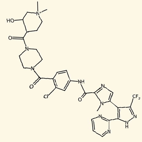 Cn1c(-c2c(C(F)(F)F)n[nH]c2-c2ncccn2)cnc1C(=O)Nc1ccc(C(=O)N2CCN(C(=O)C3CC[N+](C)(C)CC3O)CC2)c(Cl)c1